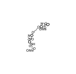 COC(=O)CCC(=O)Nc1ccc2c(c1)N1C(=O)c3ccc(OCCCCCOc4cc5c(cc4OC)C(=O)N4c6ccccc6CC4C=N5)cc3N=CC1C2